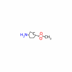 CC1OC(C2CCC(N)CC2)O1